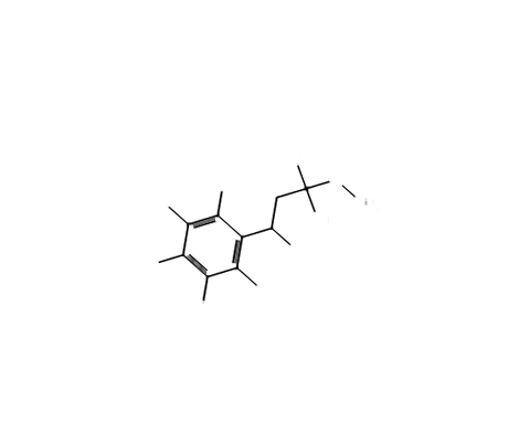 CC(CC(C)(C)O[SiH3])c1c(F)c(F)c(F)c(F)c1F